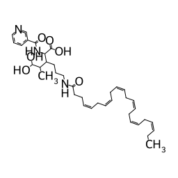 CC/C=C\C/C=C\C/C=C\C/C=C\C/C=C\C/C=C\CCC(=O)NCCCC(C(NC(=O)c1cccnc1)C(=O)O)C(C)C(O)O